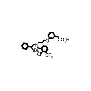 CCCCC(CN(CCCOC1=CC(=CC(=O)O)CC=C1)Cc1cccc(C(F)(F)F)c1Cl)c1ccccc1